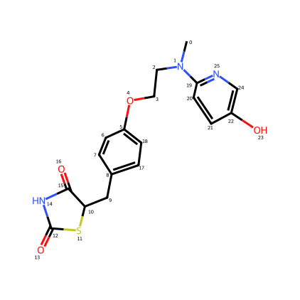 CN(CCOc1ccc(CC2SC(=O)NC2=O)cc1)c1ccc(O)cn1